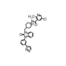 Cc1ncc(Cl)cc1C(=O)NC1CCC(Cn2c(=O)n(-c3cccc(-n4ccnn4)c3)c3ccccc32)CC1